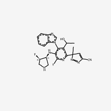 CC(O)c1c(C2(C)C=C(C#N)N=N2)nc(F)c(N[C@H]2CNC[C@H]2F)c1-n1cnc2ccccc21